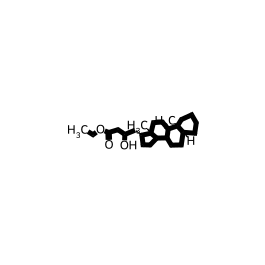 CCOC(=O)CC(O)C[C@H]1CCC2C3CC[C@@H]4CCCC[C@]4(C)C3CC[C@@]21C